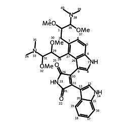 COC(Cc1ccc2[nH]cc(C3=C(c4c[nH]c5ccccc45)C(=O)NC3=O)c2c1CC(OC)C(OC)N(C)C)C(OC)N(C)C